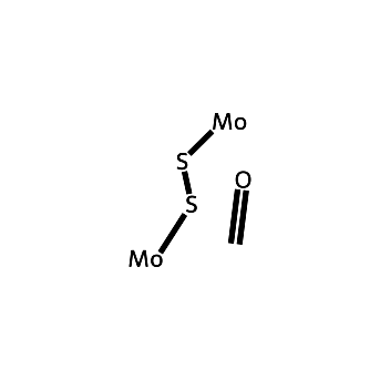 C=O.[Mo][S][S][Mo]